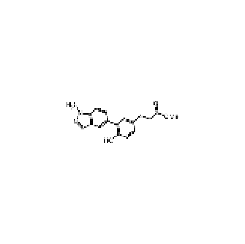 COC(=O)CCc1ccc(O)c(-c2ccc3c(cnn3C)c2)c1